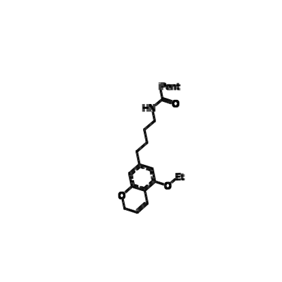 CCCC(C)C(=O)NCCCCc1cc(OCC)c2c(c1)OCC=C2